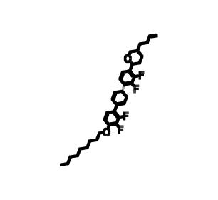 C=CCCC1CCC(c2ccc([C@H]3C=CC(c4ccc(OCCCCCCCCC)c(F)c4F)=CC3)c(F)c2F)OC1